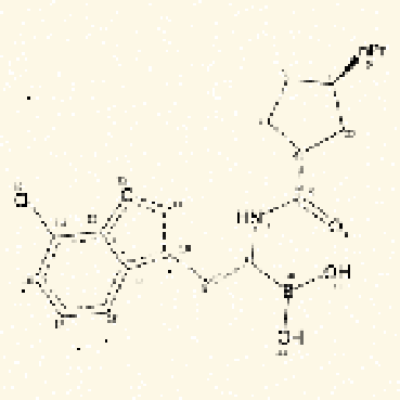 CCC[C@@H]1CC[C@@H](C(=O)N[C@@H](Cc2coc3c(Cl)cccc23)B(O)O)C1